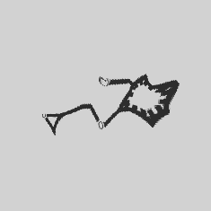 Clc1ccccc1OCC1CO1